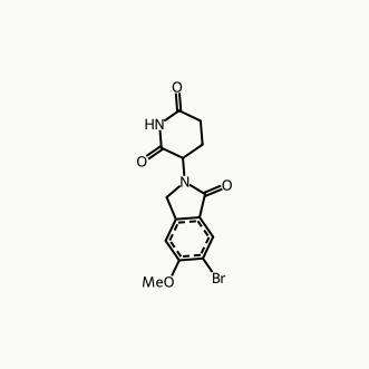 COc1cc2c(cc1Br)C(=O)N(C1CCC(=O)NC1=O)C2